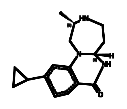 C[C@H]1CN2c3cc(C4CC4)ccc3C(=O)N[C@H]2CCN1